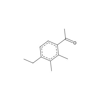 CCc1ccc(C(C)=O)c(C)c1C